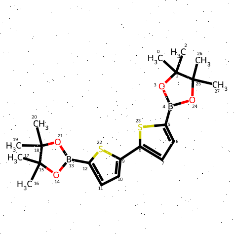 CC1(C)OB(c2ccc(-c3ccc(B4OC(C)(C)C(C)(C)O4)s3)s2)OC1(C)C